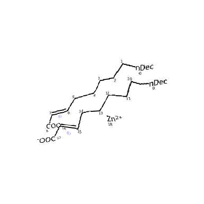 CCCCCCCCCCCCCCC/C=C/C(=O)[O-].CCCCCCCCCCCCCCC/C=C/C(=O)[O-].[Zn+2]